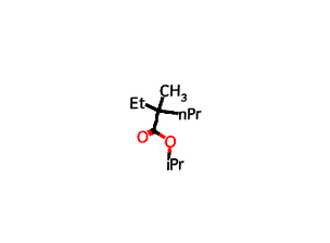 CCCC(C)(CC)C(=O)OC(C)C